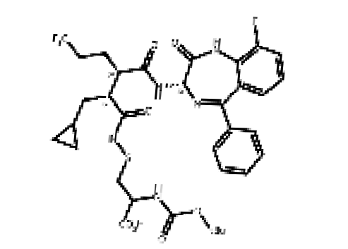 CC(C)(C)OC(=O)NC(CSNC(=O)[C@@H](CC1CC1)[C@@H](CCC(F)(F)F)C(=O)N[C@H]1N=C(c2ccccc2)c2cccc(F)c2NC1=O)C(=O)O